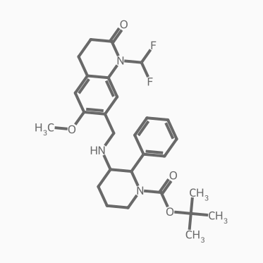 COc1cc2c(cc1CNC1CCCN(C(=O)OC(C)(C)C)C1c1ccccc1)N(C(F)F)C(=O)CC2